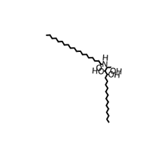 CCCCCCCCCCCCCCCCCCC(=O)NC(CO)C(O)C(O)CCCCCCCCCCCCCC